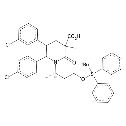 C[C@@H](CCO[Si](c1ccccc1)(c1ccccc1)C(C)(C)C)N1C(=O)C(C)(C(=O)O)CC(c2cccc(Cl)c2)C1c1ccc(Cl)cc1